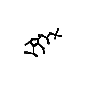 COc1c(NC(=O)OC(C)(C)C)cn(C)c1C(=O)O